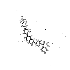 C[Si](C)(C)c1ccc(-c2ccc(-c3ccc4ccc(-c5ccc(-c6cccc7ccccc67)cc5)cc4c3)cc2)cc1